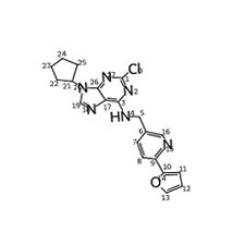 Clc1nc(NCc2ccc(-c3ccco3)nc2)c2ncn(C3CCCC3)c2n1